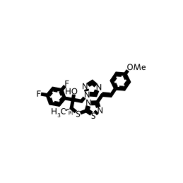 COc1ccc(C=Cc2nsc(S[C@H](C)C(O)(Cn3cncn3)c3ccc(F)cc3F)n2)cc1